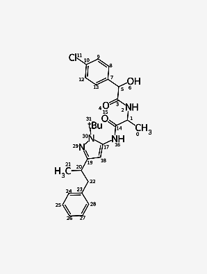 CC(NC(=O)C(O)c1ccc(Cl)cc1)C(=O)Nc1cc(C(C)Cc2ccccc2)nn1C(C)(C)C